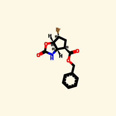 O=C1N[C@H]2[C@@H](O1)[C@H](Br)C[C@H]2C(=O)OCc1ccccc1